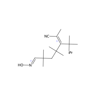 C/C(C#N)=C(/C(C)(C)CC(C)(C)/C=N/O)C(C)(C)C(C)C